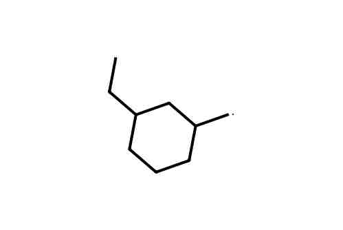 [CH2]C1CCCC(CC)C1